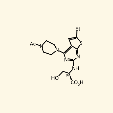 CCc1cc2c(N3CCN(C(C)=O)CC3)nc(N[C@H](CO)C(=O)O)nc2s1